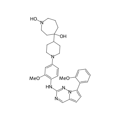 COc1cc(N2CCC(C3(O)CCCN(O)CC3)CC2)ccc1Nc1ncc2ccc(-c3ccccc3OC)n2n1